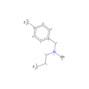 CC(C)N(CCC(F)(F)F)Cc1ccc(C(F)(F)F)cc1